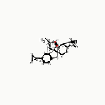 COC1CCC2(CC1)Cc1ccc(C3CC3)cc1[C@]21N=C(N)c2ccc(C#N)cc21